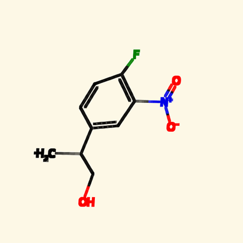 [CH2]C(CO)c1ccc(F)c([N+](=O)[O-])c1